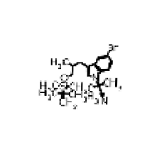 CC(CO[Si](C)(C)C(C)(C)C)Cc1cn(C(C)(C)C#N)c2ccc(Br)cc12